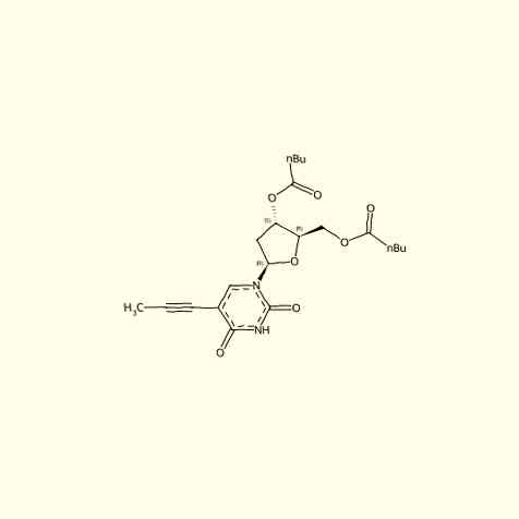 CC#Cc1cn([C@H]2C[C@H](OC(=O)CCCC)[C@@H](COC(=O)CCCC)O2)c(=O)[nH]c1=O